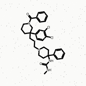 CNC(=O)NC1(c2ccccc2)CCN(CCCC2(c3ccc(Cl)c(Cl)c3)CCCN(C(=O)c3ccccc3)C2)CC1